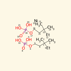 CCC(C)(C)CCOP(=O)(O)O.CCC(C)(C)CCOP(=O)(O)O.[Ni]